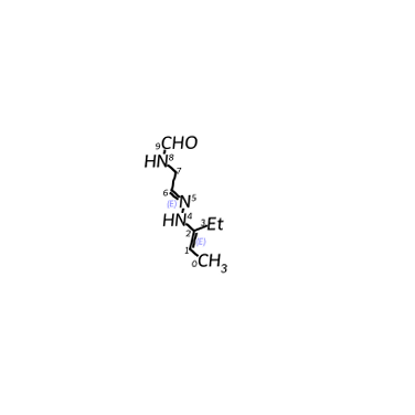 C/C=C(\CC)N/N=C/CNC=O